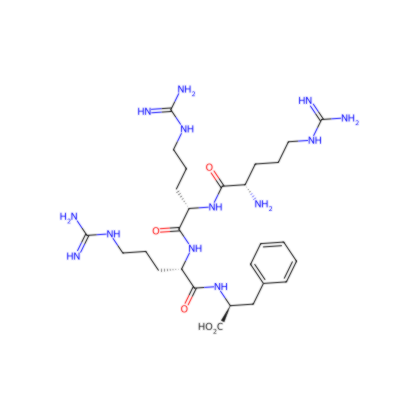 N=C(N)NCCC[C@H](NC(=O)[C@H](CCCNC(=N)N)NC(=O)[C@@H](N)CCCNC(=N)N)C(=O)N[C@@H](Cc1ccccc1)C(=O)O